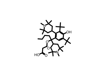 CCCCC(OC(=O)CC(=O)O)(c1cc(C(C)(C)C)c(O)c(C(C)(C)C)c1C1CC(C)(C)N(C)C(C)(C)C1)C1CC(C)(C)N(C)C(C)(C)C1